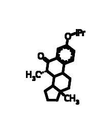 CC(C)Oc1ccc2c(c1)C(=O)[C@@H](C)C1C2CCC2(C)CCCC12